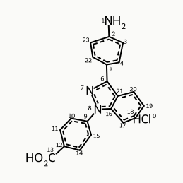 Cl.Nc1ccc(-c2nn(-c3ccc(C(=O)O)cc3)c3ccccc23)cc1